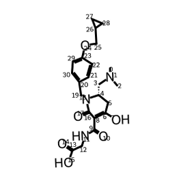 CN(C)C[C@@H]1CC(O)=C(C(=O)NCC(=O)O)C(=O)N1Cc1ccc(OCC2CC2)cc1